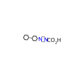 O=C(O)N1CCN(c2ccc(-c3ccccc3)cc2)CC1